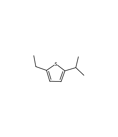 CCc1ccc(C(C)C)s1